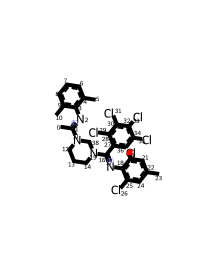 C/C(=N\c1c(C)cccc1C)N1CCCN(/C(=N/c2c(C)cc(C)cc2Cl)c2c(Cl)c(Cl)c(Cl)c(Cl)c2Cl)C1